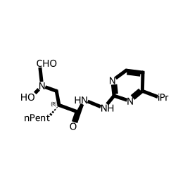 CCCCC[C@H](CN(O)C=O)C(=O)NNc1nccc(C(C)C)n1